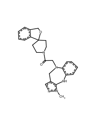 Cn1ncc2c1Nc1ccccc1N(CC(=O)N1CCC3(CC1)OCc1ccccc13)C2